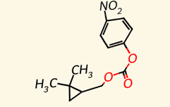 CC1(C)CC1COC(=O)Oc1ccc([N+](=O)[O-])cc1